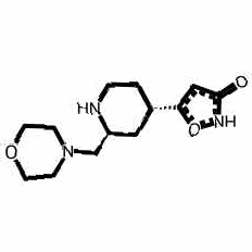 O=c1cc([C@H]2CCN[C@H](CN3CCOCC3)C2)o[nH]1